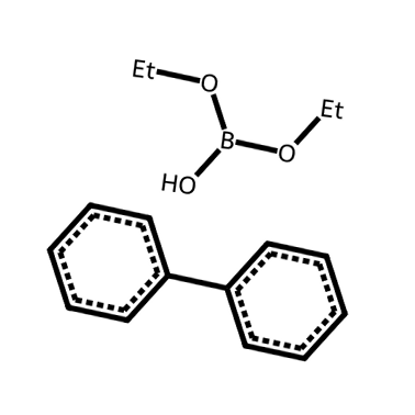 CCOB(O)OCC.c1ccc(-c2ccccc2)cc1